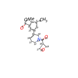 COC(=O)c1cc(C)cc(C2=CCCN(C(=O)C3COC3)C2)c1